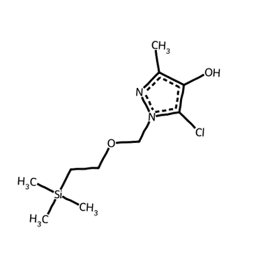 Cc1nn(COCC[Si](C)(C)C)c(Cl)c1O